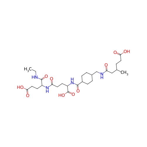 CCNC(=O)C(CCC(=O)O)NC(=O)CCC(NC(=O)C1CCC(CNC(=O)CC(C)CCC(=O)O)CC1)C(=O)O